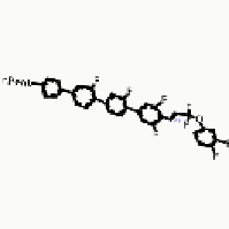 CCCCCc1ccc(-c2ccc(-c3ccc(-c4cc(F)c(/C=C/C(F)(F)Oc5ccc(F)c(F)c5)c(F)c4)c(F)c3)c(F)c2)cc1